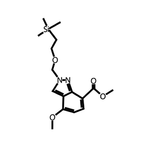 COC(=O)c1ccc(OC)c2cn(COCC[Si](C)(C)C)nc12